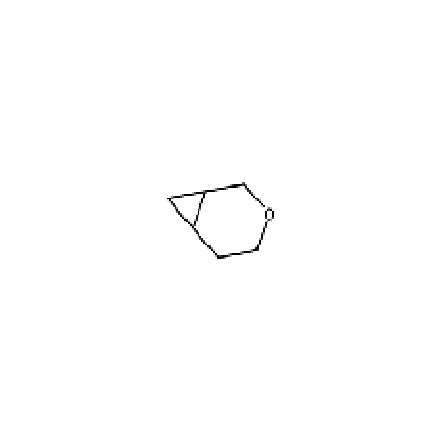 C1CC2CC2CO1